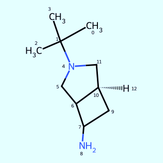 CC(C)(C)N1CC2C(N)C[C@@H]2C1